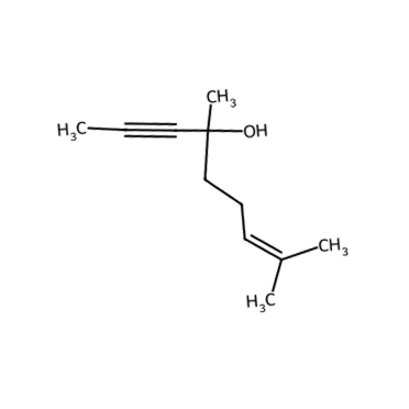 CC#CC(C)(O)CCC=C(C)C